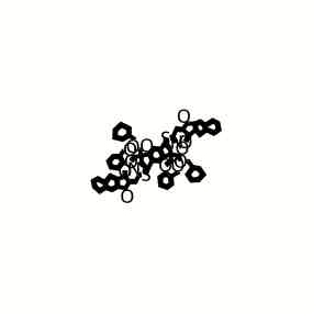 O=C1C(=Cc2nc3c(s2)-c2cc4c(cc2C3(C(=O)OCc2ccccc2)C(=O)OCc2ccccc2)-c2sc(C=C3C(=O)c5cc6ccccc6cc5C3=O)nc2C4(C(=O)OCc2ccccc2)C(=O)OCc2ccccc2)C(=O)c2cc3ccccc3cc21